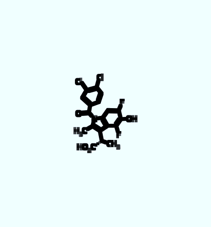 Cc1c([C@H](C)C(=O)O)c2c(F)c(O)c(F)cc2n1C(=O)c1ccc(Cl)c(Cl)c1